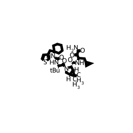 CC(C)(C)[C@H](NC(=O)NC1(CC2C=CSC2)CCCCC1)C(=O)N1C[C@H]2[C@@H]([C@H]1C(=O)NC(CC1CC1)C(=O)C(N)=O)C2(C)C